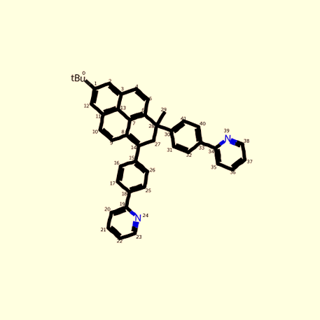 CC(C)(C)c1cc2ccc3c4c(ccc(c1)c24)=C(c1ccc(-c2ccccn2)cc1)CC3(C)c1ccc(-c2ccccn2)cc1